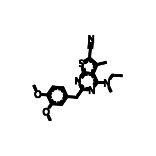 CCN(C)c1nc(Cc2ccc(OC)c(OC)c2)nc2sc(C#N)c(C)c12